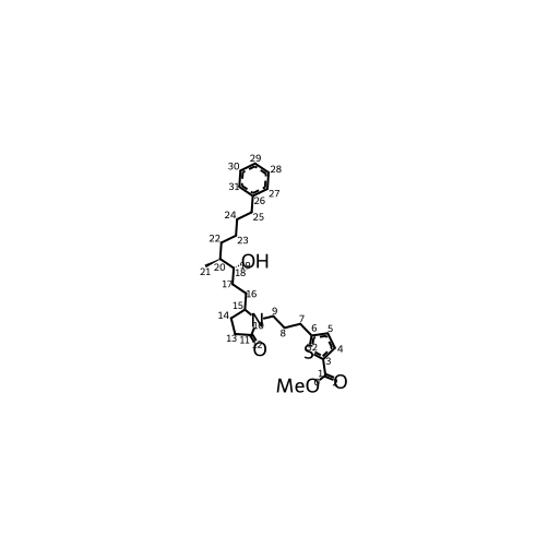 COC(=O)c1ccc(CCCN2C(=O)CCC2CC[C@@H](O)[C@@H](C)CCCCc2ccccc2)s1